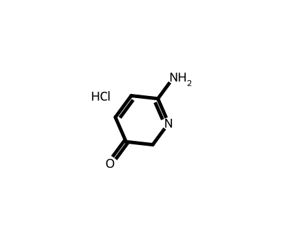 Cl.NC1=NCC(=O)C=C1